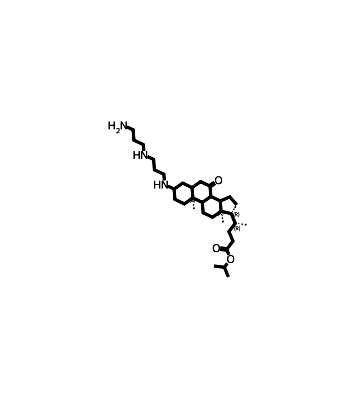 CC(C)OC(=O)CC[C@@H](C)[C@H]1CCC2C3C(=O)CC4CC(NCCCNCCCN)CC[C@]4(C)C3CC[C@@]21C